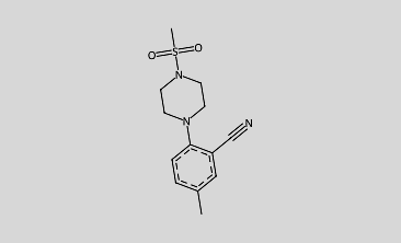 Cc1ccc(N2CCN(S(C)(=O)=O)CC2)c(C#N)c1